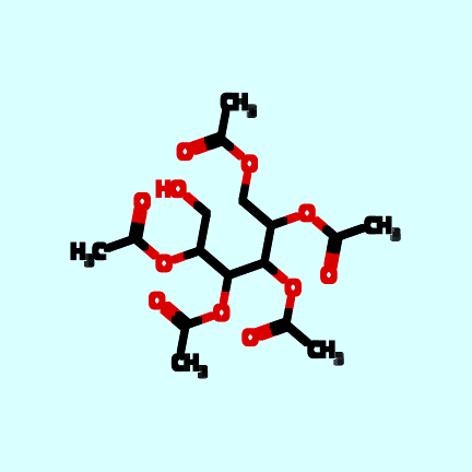 CC(=O)OCC(OC(C)=O)C(OC(C)=O)C(OC(C)=O)C(CO)OC(C)=O